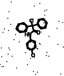 O=C(Nc1ccc(Cl)cc1)C(Cl)(c1ccccc1)c1ccccc1